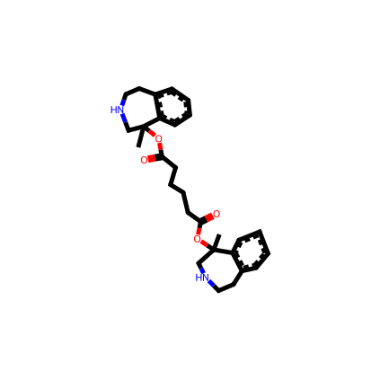 CC1(OC(=O)CCCCC(=O)OC2(C)CNCCc3ccccc32)CNCCc2ccccc21